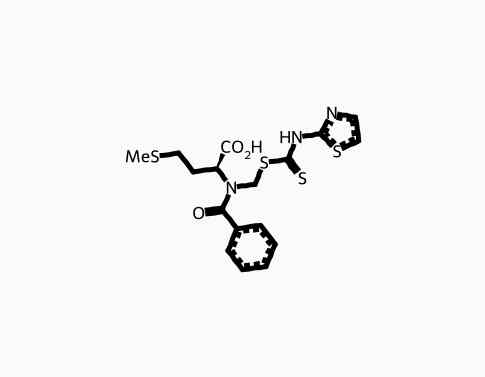 CSCC[C@@H](C(=O)O)N(CSC(=S)Nc1nccs1)C(=O)c1ccccc1